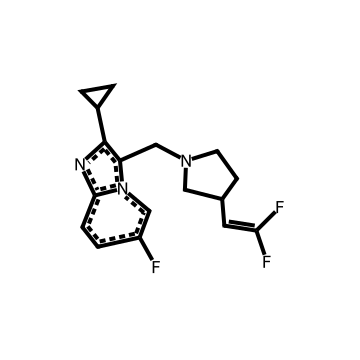 FC(F)=CC1CCN(Cc2c(C3CC3)nc3ccc(F)cn23)C1